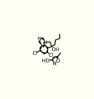 CCCCC(O)(Cn1cncn1)c1ccc(Cl)cc1Cl.Cc1cc(O)no1